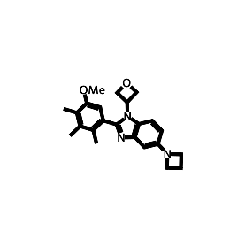 COc1cc(-c2nc3cc(N4CCC4)ccc3n2C2COC2)c(C)c(C)c1C